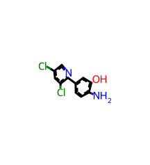 Nc1ccc(-c2ncc(Cl)cc2Cl)cc1O